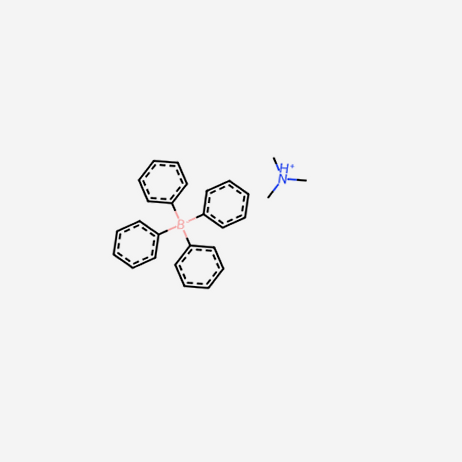 C[NH+](C)C.c1ccc([B-](c2ccccc2)(c2ccccc2)c2ccccc2)cc1